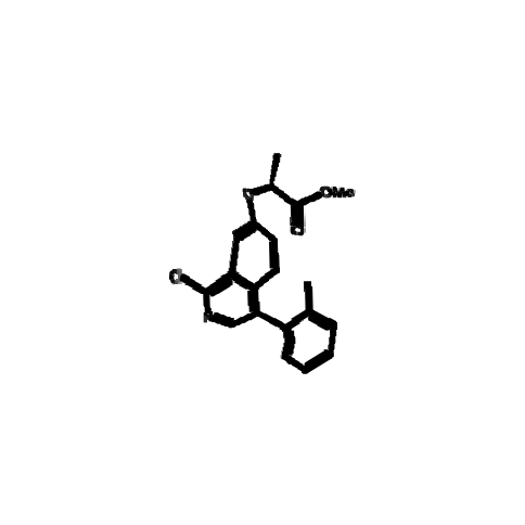 COC(=O)[C@H](C)Oc1ccc2c(-c3ccccc3C)cnc(Cl)c2c1